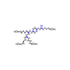 CCCCCCCCCCCCCCNCCN1CCN(CCN(CCCCCCCCCCCCCC)CCN(CCCCCCCCCCCCCC)CCCCCCCCCCCCCC)CC1